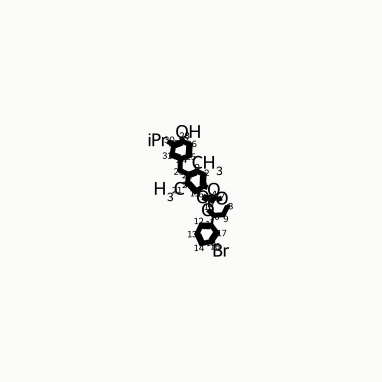 Cc1cc(OP2(=O)OCC[C@@H](c3cccc(Br)c3)O2)cc(C)c1Cc1ccc(O)c(C(C)C)c1